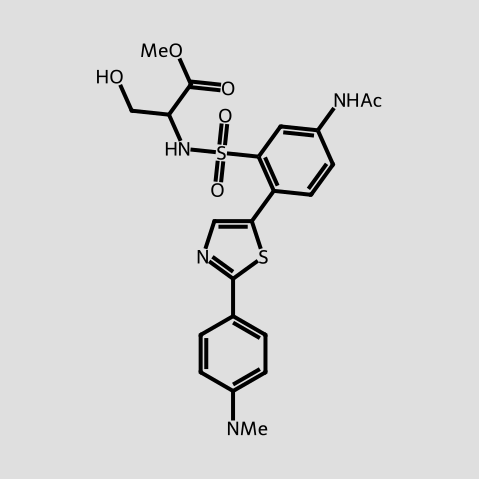 CNc1ccc(-c2ncc(-c3ccc(NC(C)=O)cc3S(=O)(=O)NC(CO)C(=O)OC)s2)cc1